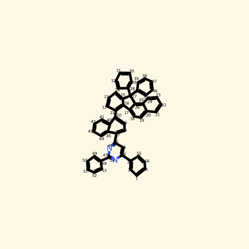 c1ccc(-c2cc(-c3ccc(-c4cccc5c4-c4ccc6ccccc6c4C5(c4ccccc4)c4ccccc4)c4ccccc34)nc(-c3ccccc3)n2)cc1